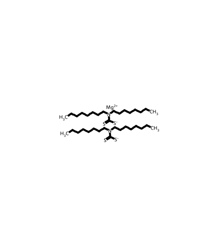 CCCCCCCCN(CCCCCCCC)C(=S)[S-].CCCCCCCCN(CCCCCCCC)C(=S)[S-].[Mg+2]